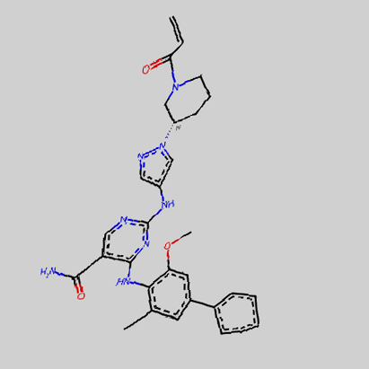 C=CC(=O)N1CCC[C@H](n2cc(Nc3ncc(C(N)=O)c(Nc4c(C)cc(-c5ccccc5)cc4OC)n3)cn2)C1